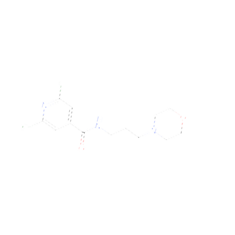 O=C(NCCCN1CCOCC1)c1cc(Cl)nc(Cl)c1